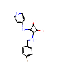 O=c1c(NCc2ccc(Br)cc2)c(Nc2ccncc2)c1=O